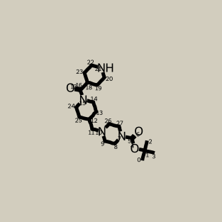 CC(C)(C)OC(=O)N1CCN(CC2CCN(C(=O)C3CCNCC3)CC2)CC1